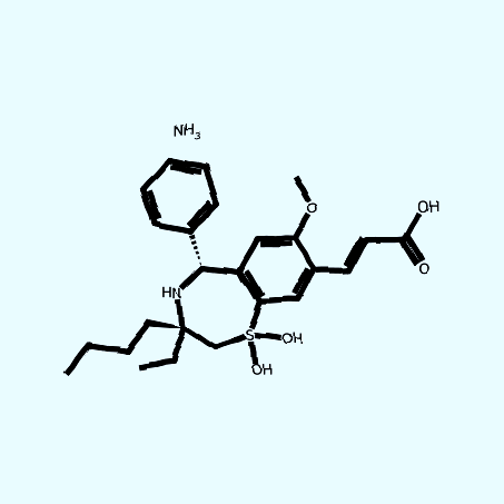 CCCC[C@]1(CC)CS(O)(O)c2cc(/C=C/C(=O)O)c(OC)cc2[C@@H](c2ccccc2)N1.N